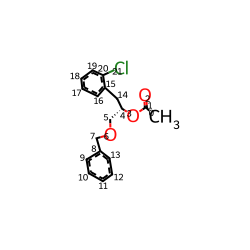 CC(=O)O[C@H](COCc1ccccc1)Cc1ccccc1Cl